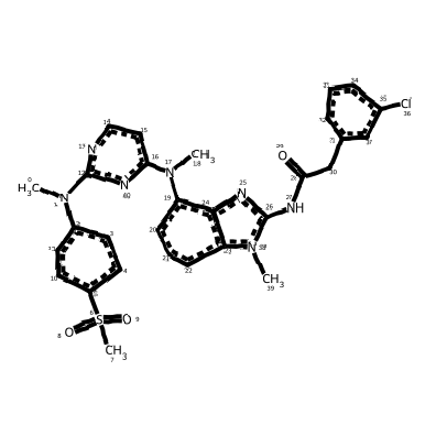 CN(c1ccc(S(C)(=O)=O)cc1)c1nccc(N(C)c2cccc3c2nc(NC(=O)Cc2cccc(Cl)c2)n3C)n1